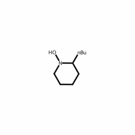 CCCCC1CCCCN1O